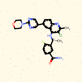 Cc1nc2ccc(-c3cnc(N4CCOCC4)nc3)cc2c(N[C@H](C)c2cc(C(N)=O)ccc2F)c1Cl